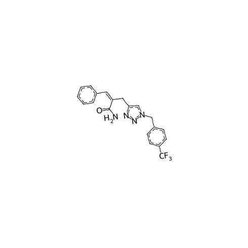 NC(=O)C(=Cc1ccccc1)Cc1cn(Cc2ccc(C(F)(F)F)cc2)nn1